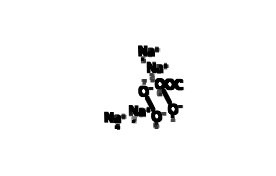 O=C([O-])[O-].[Na+].[Na+].[Na+].[Na+].[O-][O-]